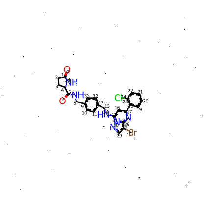 O=C1CCC(C(=O)NCc2ccc(CNc3cc(-c4ccccc4Cl)nc4c(Br)cnn34)cc2)N1